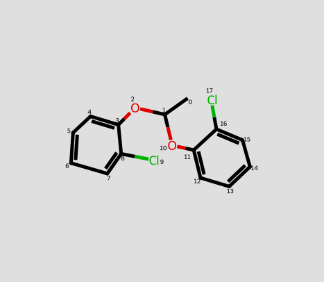 CC(Oc1ccccc1Cl)Oc1ccccc1Cl